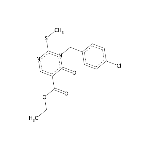 CCOC(=O)c1cnc(SC)n(Cc2ccc(Cl)cc2)c1=O